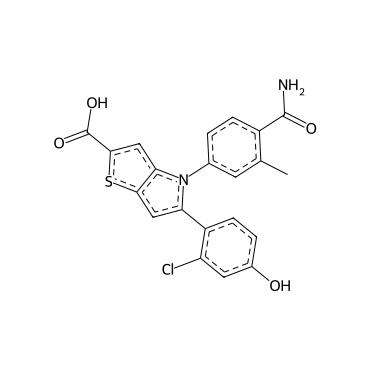 Cc1cc(-n2c(-c3ccc(O)cc3Cl)cc3sc(C(=O)O)cc32)ccc1C(N)=O